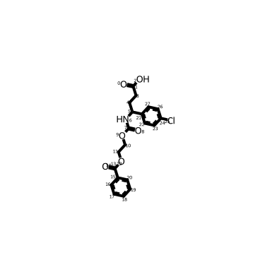 O=C(O)CCC(NC(=O)OCCOC(=O)c1ccccc1)c1ccc(Cl)cc1